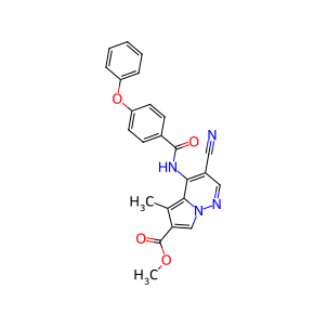 COC(=O)c1cn2ncc(C#N)c(NC(=O)c3ccc(Oc4ccccc4)cc3)c2c1C